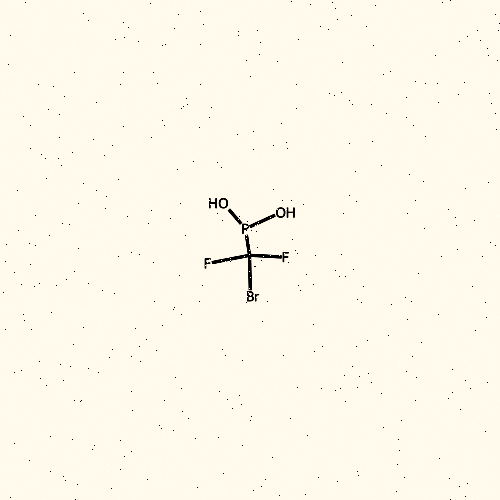 OP(O)C(F)(F)Br